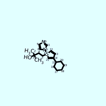 CC(C)(O)CCS1(n2ccnc2)C=CC(C2CCCCC2)=C1